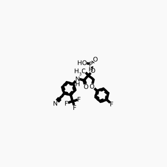 CC(COc1ccc(F)cc1)(O[PH](=O)O)C(=O)Nc1ccc(C#N)c(C(F)(F)F)c1